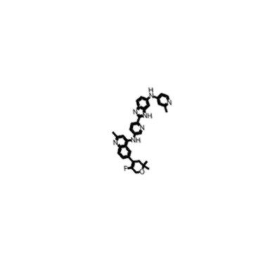 Cc1cc(Nc2ccc3nc(-c4ccc(Nc5cc(C)nc6ccc(C7=C(F)COC(C)(C)C7)cc56)cn4)[nH]c3c2)ccn1